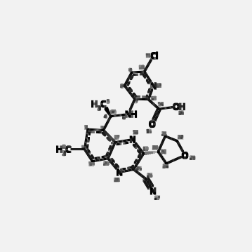 Cc1cc([C@@H](C)Nc2ccc(Cl)nc2C(=O)O)c2nc([C@@H]3CCOC3)c(C#N)nc2c1